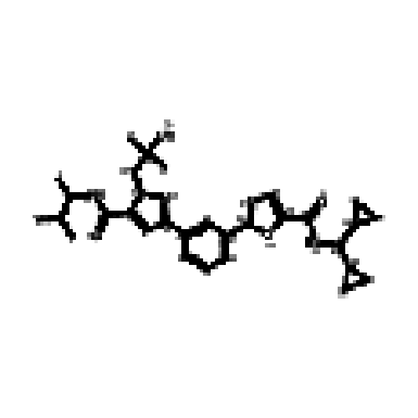 CC(C)C(C)NC(=O)c1cc(-c2cccc(-c3ncc(C(=O)NC(C4CC4)C4CC4)o3)c2)nn1CC(C)(C)O